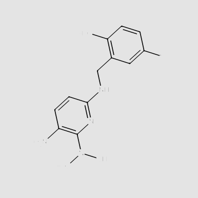 Cc1ccc(F)cc1CNc1ccc([N+](=O)[O-])c(N(C)C)n1